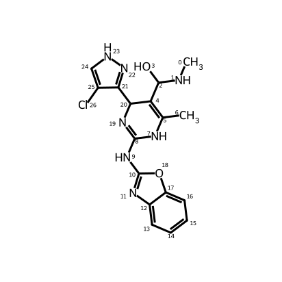 CNC(O)C1=C(C)NC(Nc2nc3ccccc3o2)=NC1c1n[nH]cc1Cl